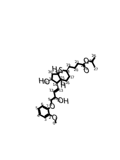 COc1ccccc1OC[C@H](O)C=C[C@@H]1[C@H]2CC[C@H](CCCC(=O)OC(C)C)S[C@H]2C[C@H]1O